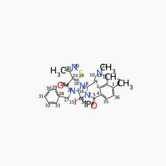 Cc1ccc(C(=O)N(CCCN(C)C)C(I)(c2nc3snc(C)c3c(=O)n2Cc2ccccc2)C(C)C)cc1